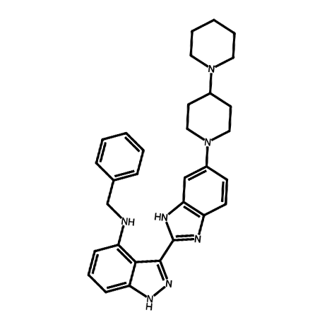 c1ccc(CNc2cccc3[nH]nc(-c4nc5ccc(N6CCC(N7CCCCC7)CC6)cc5[nH]4)c23)cc1